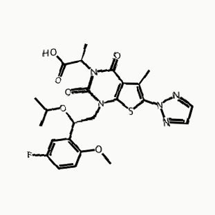 COc1ccc(F)cc1[C@H](Cn1c(=O)n([C@H](C)C(=O)O)c(=O)c2c(C)c(-n3nccn3)sc21)OC(C)C